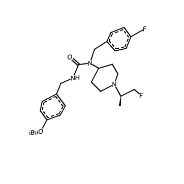 CC(C)COc1ccc(CNC(=O)N(Cc2ccc(F)cc2)C2CCN([C@H](C)CF)CC2)cc1